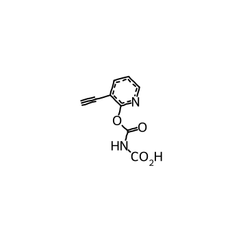 C#Cc1cccnc1OC(=O)NC(=O)O